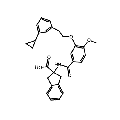 COc1ccc(C(=O)NC2(C(=O)O)Cc3ccccc3C2)cc1OCCc1cccc(C2CC2)c1